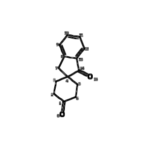 O=C1CCC2(CC1)Cc1ccccc1C2=O